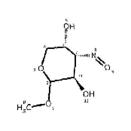 COC1OC[C@H](O)[C@H](N=O)[C@H]1O